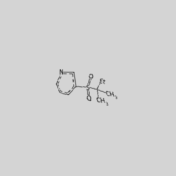 CCC(C)(C)S(=O)(=O)c1cccnc1